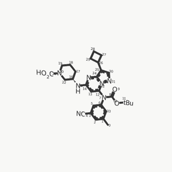 Cc1cc(C#N)cc(N(C(=O)OC(C)(C)C)c2cc(N[C@H]3CCCN(C(=O)O)C3)nc3c(C4CCC4)cnn23)c1